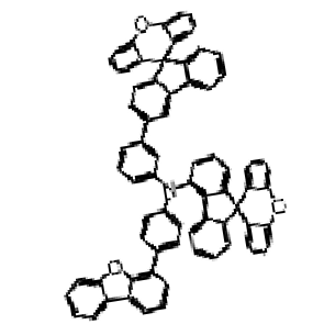 c1cc(-c2ccc3c(c2)-c2ccccc2C32c3ccccc3Oc3ccccc32)cc(N(c2ccc(-c3cccc4c3oc3ccccc34)cc2)c2cccc3c2-c2ccccc2C32c3ccccc3Oc3ccccc32)c1